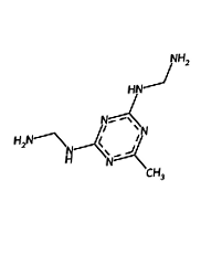 Cc1nc(NCN)nc(NCN)n1